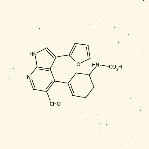 O=Cc1cnc2[nH]cc(-c3ccco3)c2c1C1=CCCC(NC(=O)O)C1